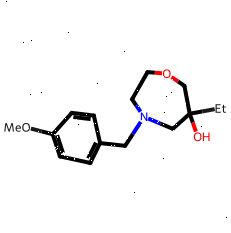 CCC1(O)COCCN(Cc2ccc(OC)cc2)C1